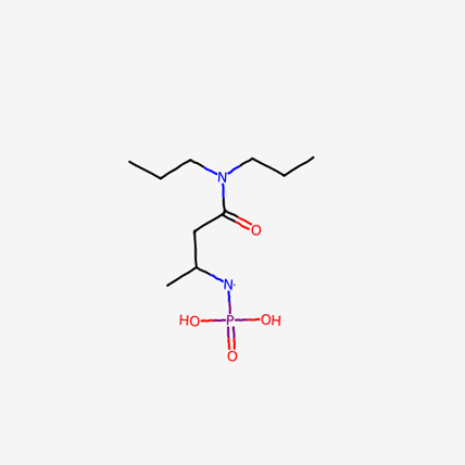 CCCN(CCC)C(=O)CC(C)[N]P(=O)(O)O